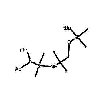 CCCN(C(C)=O)S(C)(C)NC(C)(C)CO[Si](C)(C)C(C)(C)C